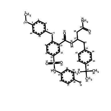 COc1ccc(Sc2ccc(S(=O)(=O)Nc3ccc(F)cc3)cc2C(=O)NC(CC(N)=O)Cc2ccc(C(C)(C)C)cc2)cc1